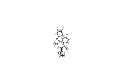 Cc1ccc2c(c1)N(Cc1ccc(C)c(C)c1)C(=O)CC(c1cnco1)=C2Br